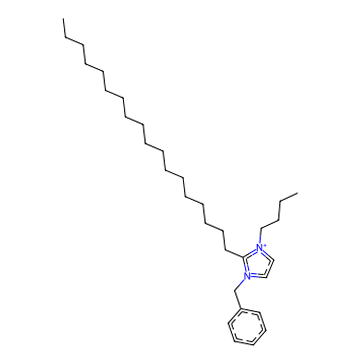 CCCCCCCCCCCCCCCCCCc1n(Cc2ccccc2)cc[n+]1CCCC